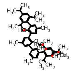 Cc1cc(-c2cc(C)cc(-c3cc(C)cc(-c4c(C(C)C)cc(C(C)C)cc4C(C)C)c3O)c2OCCCCN(C)C)c(O)c(-c2c(C(C)C)cc(C(C)C)cc2C(C)C)c1